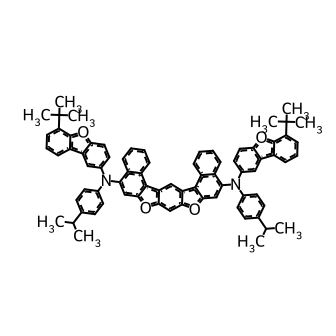 CC(C)c1ccc(N(c2ccc3oc4c(C(C)(C)C)cccc4c3c2)c2cc3oc4cc5oc6cc(N(c7ccc(C(C)C)cc7)c7ccc8oc9c(C(C)(C)C)cccc9c8c7)c7ccccc7c6c5cc4c3c3ccccc23)cc1